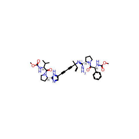 C=CC(C)(C#CC#Cc1cnc([C@@H]2CCCN2C(=O)[C@@H](NC(=O)OC)C(C)C)[nH]1)/N=C(\N)[C@@H]1CCCN1C(=O)[C@H](NC(=O)OC)c1ccccc1